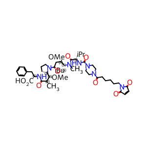 CC[C@H](C)[C@@H]([C@@H](CC(=O)N1CCC[C@H]1[C@H](OC)[C@@H](C)C(=O)N[C@@H](Cc1ccccc1)C(=O)O)OC)N(C)C(=O)[C@@H](NC(=O)N1CCN(C(=O)CCCCCN2C(=O)C=CC2=O)CC1)C(C)C